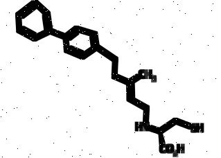 C/C(=C\CN[C@@H](CS)C(=O)O)CCc1ccc(-c2ccccc2)cc1